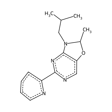 CC(C)CN1c2nc(-c3ccccn3)ncc2OC1C